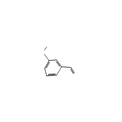 C=Cc1c[c]cc(OC(F)(F)F)c1